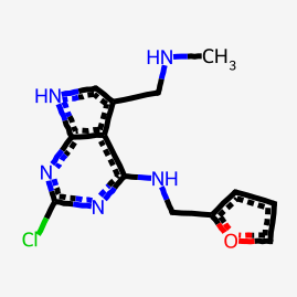 CNCc1c[nH]c2nc(Cl)nc(NCc3ccco3)c12